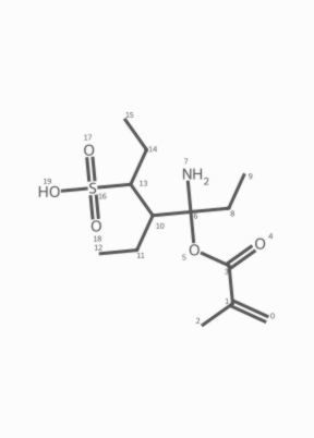 C=C(C)C(=O)OC(N)(CC)C(CC)C(CC)S(=O)(=O)O